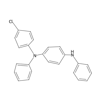 Clc1ccc(N(c2ccccc2)c2ccc(Nc3ccccc3)cc2)cc1